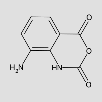 Nc1cccc2c(=O)oc(=O)[nH]c12